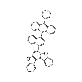 c1ccc(-c2c3ccccc3c(-c3ccc(-c4cc5oc6ccccc6c5c5c4oc4ccccc45)c4ccccc34)c3ccccc23)cc1